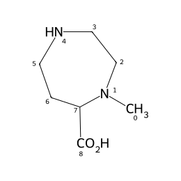 CN1CCNCCC1C(=O)O